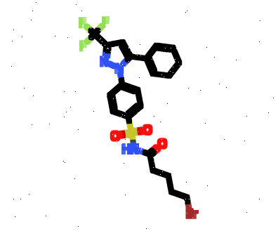 O=C(CCCCBr)NS(=O)(=O)c1ccc(-n2nc(C(F)(F)F)cc2C2=CCCC=C2)cc1